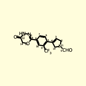 O=CN1CC=C(c2ccc(C3=NNC(=O)CO3)cc2C(F)(F)F)C1